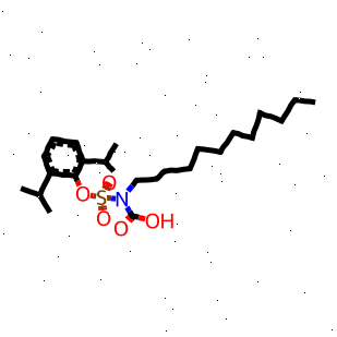 CCCCCCCCCCCCN(C(=O)O)S(=O)(=O)Oc1c(C(C)C)cccc1C(C)C